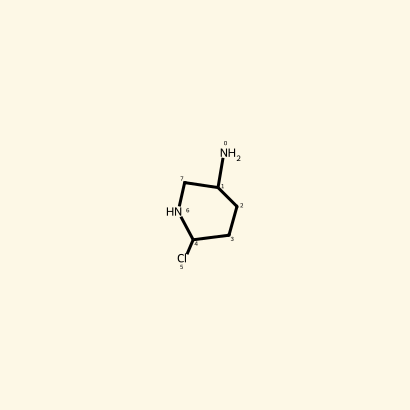 NC1CCC(Cl)NC1